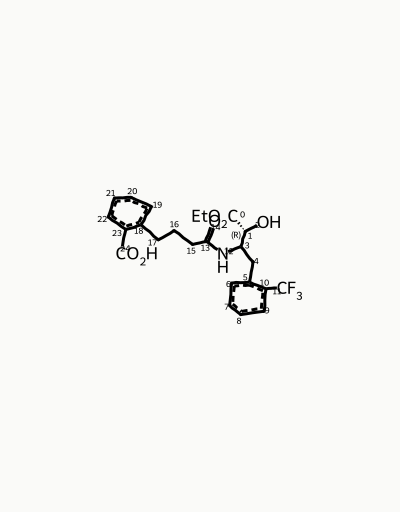 CCOC(=O)[C@H](O)C(Cc1ccccc1C(F)(F)F)NC(=O)CCCc1ccccc1C(=O)O